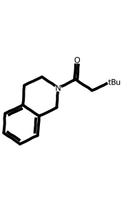 CC(C)(C)CC(=O)N1CCc2ccccc2C1